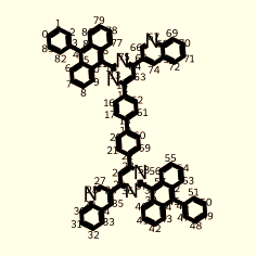 c1ccc(-c2c3ccccc3c(-c3nc(-c4ccc(-c5ccc(-c6cc(-c7cnc8ccccc8c7)nc(-c7c8ccccc8c(-c8ccccc8)c8ccccc78)n6)cc5)cc4)cc(-c4cnc5ccccc5c4)n3)c3ccccc23)cc1